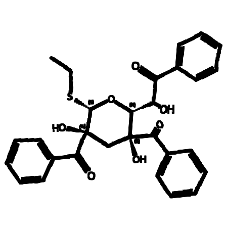 CCS[C@@H]1O[C@H](C(O)C(=O)c2ccccc2)[C@](O)(C(=O)c2ccccc2)C[C@]1(O)C(=O)c1ccccc1